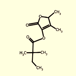 CCC(C)(C)C(=O)OC1=C(C)C(C)OC1=O